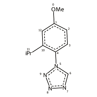 COc1ccc(-n2cnnn2)c(C(C)C)c1